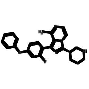 Nc1nccn2c([C@@H]3CCCNC3)nc(-c3ccc(Oc4ccccc4)cc3F)c12